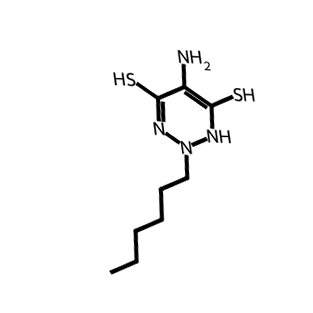 CCCCCCN1N=C(S)C(N)=C(S)N1